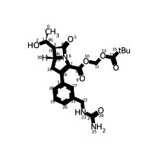 C[C@@H](O)[C@H]1C(=O)N2C(C(=O)OCOC(=O)C(C)(C)C)=C(c3cccc(CNC(N)=O)c3)C[C@H]12